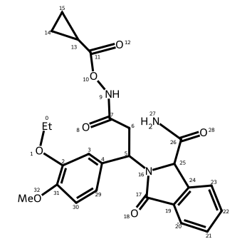 CCOc1cc(C(CC(=O)NOC(=O)C2CC2)N2C(=O)c3[c]cccc3C2C(N)=O)ccc1OC